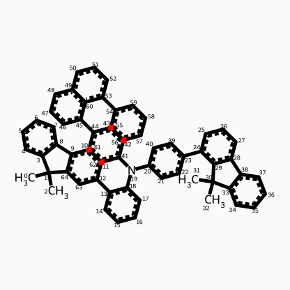 CC1(C)c2ccccc2-c2ccc(-c3ccccc3N(c3ccc(-c4cccc5c4C(C)(C)c4ccccc4-5)cc3)c3ccc(-c4cccc5cccc(-c6ccccc6)c45)cc3)cc21